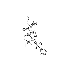 CCC[C@H](NC)C(=O)N[C@H]1CC[C@@H]2CN(S(=O)(=O)c3cccs3)C[C@@H]21